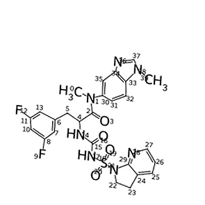 CN(C(=O)C(Cc1cc(F)cc(F)c1)NC(=O)NS(=O)(=O)N1CCc2cccnc21)c1ccc2c(c1)ncn2C